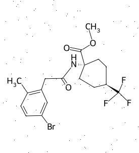 COC(=O)[C@]1(NC(=O)Cc2cc(Br)ccc2C)CC[C@H](C(F)(F)F)CC1